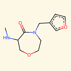 CNC1COCCN(Cc2ccoc2)C1=O